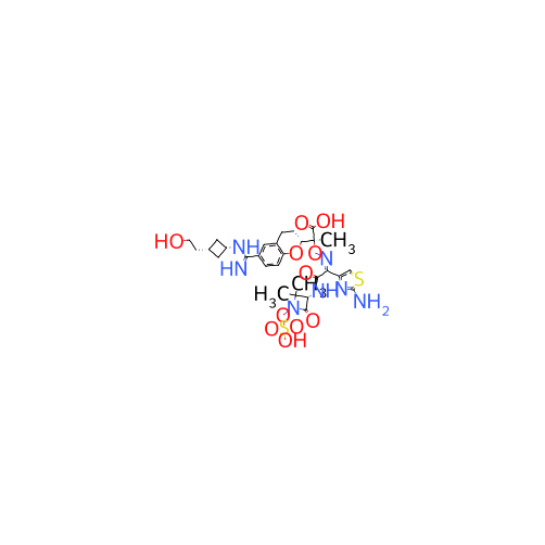 CC1(C)[C@H](NC(=O)/C(=N\O[C@](C)(C(=O)O)[C@H]2CCc3cc(C(=N)N[C@H]4C[C@@H](CCO)C4)ccc3O2)c2csc(N)n2)C(=O)N1OS(=O)(=O)O